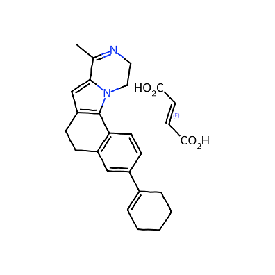 CC1=NCCn2c1cc1c2-c2ccc(C3=CCCCC3)cc2CC1.O=C(O)/C=C/C(=O)O